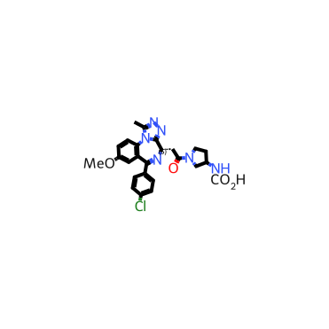 COc1ccc2c(c1)C(c1ccc(Cl)cc1)=N[C@@H](CC(=O)N1CCC(NC(=O)O)C1)c1nnc(C)n1-2